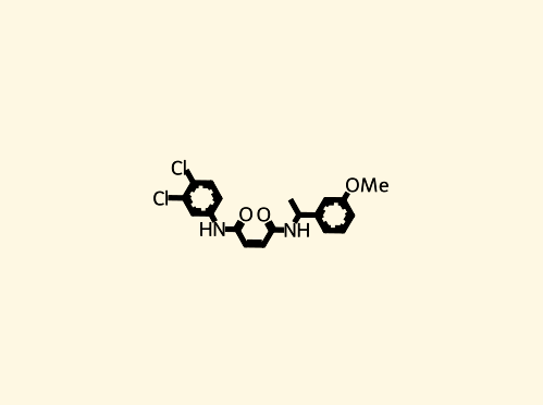 COc1cccc(C(C)NC(=O)/C=C\C(=O)Nc2ccc(Cl)c(Cl)c2)c1